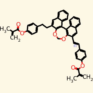 C=C(C)C(=O)Oc1ccc(/C=C/c2cc3ccccc3c3c2OCOc2c(CCc4ccc(OC(=O)C(=C)C)cc4)cc4ccccc4c2-3)cc1